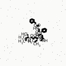 CC[C@H](C)[C@@H](CO)NC(=O)C[C@H](O)[C@H](CC(C)C)NC(=O)[C@H](Cc1c[nH]cn1)N(C(=O)CNC(=O)OCc1ccccc1)c1ccccc1